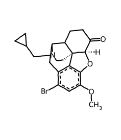 COc1cc(Br)c2c3c1O[C@@H]1C(=O)CCC4C(C2)N(CC2CC2)CC[C@]341